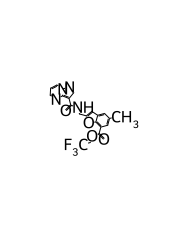 Cc1cc(C(=O)OCC(F)(F)F)c2oc(CNC(=O)c3cnn4cccnc34)cc2c1